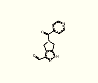 O=Cc1n[nH]c2c1CN(C(=O)c1ccncc1)C2